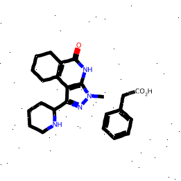 Cn1nc(C2CCCCN2)c2c3c(c(=O)[nH]c21)CCCC3.O=C(O)Cc1ccccc1